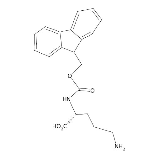 NCCC[C@@H](NC(=O)OCC1c2ccccc2-c2ccccc21)C(=O)O